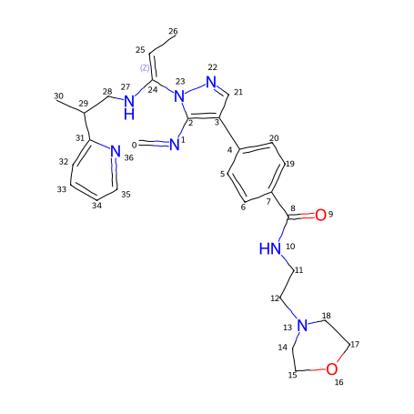 C=Nc1c(-c2ccc(C(=O)NCCN3CCOCC3)cc2)cnn1/C(=C\C)NCC(C)c1ccccn1